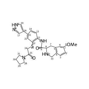 COc1ccc2c(c1)CC(C(=O)Nc1ccc(-c3cn[nH]c3)cc1SCC(=O)N1CCCC1)NC2